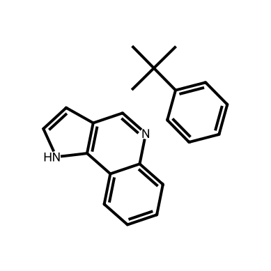 CC(C)(C)c1ccccc1.c1ccc2c(c1)ncc1cc[nH]c12